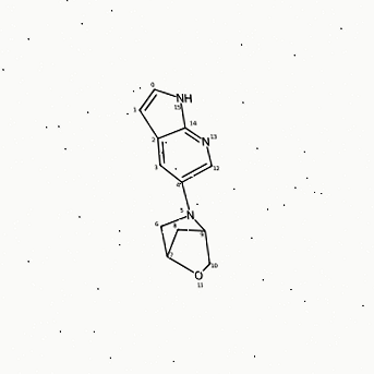 c1cc2cc(N3CC4CC3CO4)cnc2[nH]1